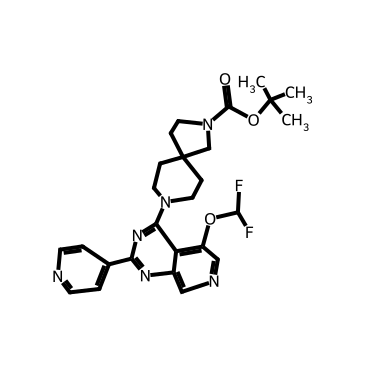 CC(C)(C)OC(=O)N1CCC2(CCN(c3nc(-c4ccncc4)nc4cncc(OC(F)F)c34)CC2)C1